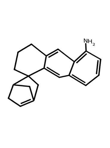 Nc1cccc2cc3c(cc12)CCCC31CC2=CCC1C2